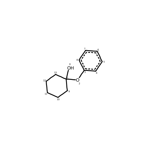 OC1(Oc2cc[c]cc2)CCCCC1